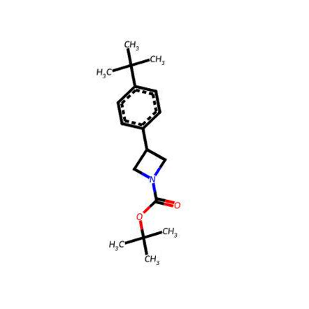 CC(C)(C)OC(=O)N1CC(c2ccc(C(C)(C)C)cc2)C1